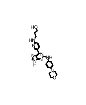 OCCCNc1ccc(-c2nc(Nc3ccc(N4CCOCC4)cc3)nc3[nH]cnc23)cn1